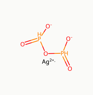 O=[PH]([O-])O[PH](=O)[O-].[Ag+2]